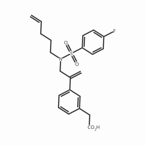 C=CCCCN(CC(=C)c1cccc(CC(=O)O)c1)S(=O)(=O)c1ccc(F)cc1